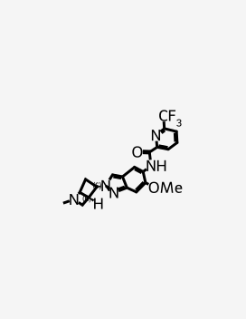 COc1cc2nn([C@H]3CC4[C@H]3CN4C)cc2cc1NC(=O)c1cccc(C(F)(F)F)n1